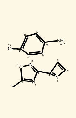 Cc1nc(C2=NC=C2)no1.Nc1ccc(Cl)cc1